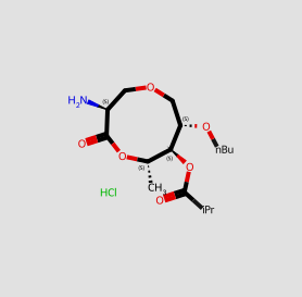 CCCCO[C@H]1COC[C@H](N)C(=O)O[C@@H](C)[C@@H]1OC(=O)C(C)C.Cl